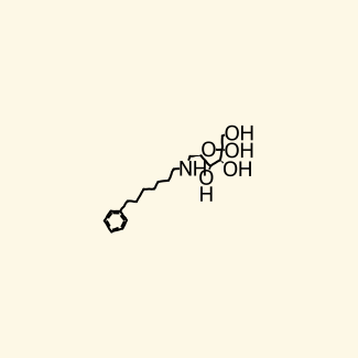 OC[C@]1(O)O[C@H](CNCCCCCCCc2ccccc2)[C@H](O)[C@H]1O